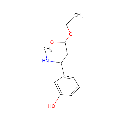 CCOC(=O)CC(NC)c1cccc(O)c1